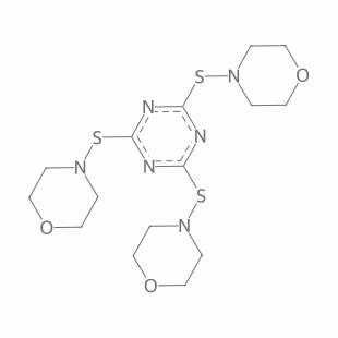 C1CN(Sc2nc(SN3CCOCC3)nc(SN3CCOCC3)n2)CCO1